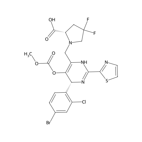 COC(=O)OC1=C(CN2CC(F)(F)C[C@H]2C(=O)O)NC(c2nccs2)=N[C@@H]1c1ccc(Br)cc1Cl